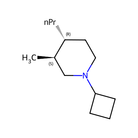 CCC[C@@H]1CCN(C2CCC2)C[C@H]1C